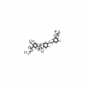 CCc1ccc(S(=O)(=O)Nc2ccc(SCc3cccc(OC(F)(F)F)c3)cc2)cc1C(=O)OC